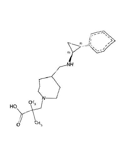 CC(C)(CN1CCC(CN[C@H]2C[C@@H]2c2ccccc2)CC1)C(=O)O